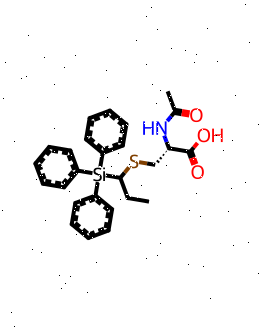 CCC(SC[C@H](NC(C)=O)C(=O)O)[Si](c1ccccc1)(c1ccccc1)c1ccccc1